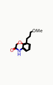 COCCCc1cccc2c1OCC(=O)N2